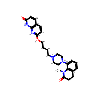 CN1C(=O)CCc2cccc(N3CCN(CCCCOc4ccc5ccc(=O)[nH]c5n4)CC3)c21